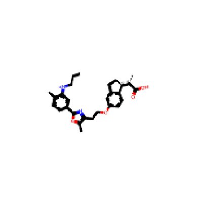 CCCNc1cc(-c2nc(CCOc3ccc4c(c3)CC[C@H]4[C@H](C)C(=O)O)c(C)o2)ccc1C